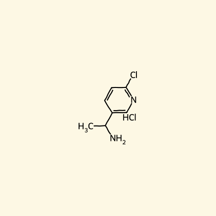 CC(N)c1ccc(Cl)nc1.Cl